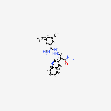 NC(=O)/C(=C/N/N=C(\N)c1cc(C(F)(F)F)cc(C(F)(F)F)c1)c1cnc2ccccc2c1